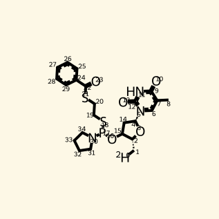 [2H]C[C@H]1O[C@@H](n2cc(C)c(=O)[nH]c2=O)CC1OP(SCCSC(=O)c1ccccc1)N1CCCC1